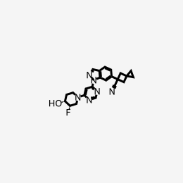 N#CC1(c2ccc3cnn(-c4cc(N5CC[C@@H](O)[C@@H](F)C5)ncn4)c3c2)CC2(CC2)C1